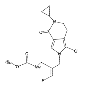 CC(C)(C)OC(=O)NC/C(=C\F)Cn1cc2c(c1Cl)CCN(C1CC1)C2=O